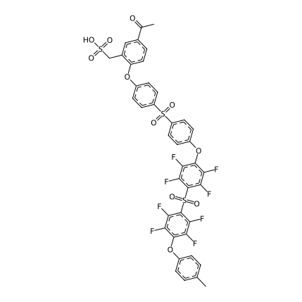 CC(=O)c1ccc(Oc2ccc(S(=O)(=O)c3ccc(Oc4c(F)c(F)c(S(=O)(=O)c5c(F)c(F)c(Oc6ccc(C)cc6)c(F)c5F)c(F)c4F)cc3)cc2)c(CS(=O)(=O)O)c1